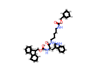 O=C(NCCCCCNC(=O)[C@@H](Cc1c[nH]c2ccccc12)NC(=O)OCC1c2ccccc2-c2ccccc21)OCc1ccccc1